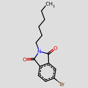 CCCCCCN1C(=O)c2ccc(Br)cc2C1=O